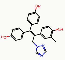 Cc1cc(C(Cn2cncn2)=C(c2ccc(O)cc2)c2ccc(O)cc2)ccc1O